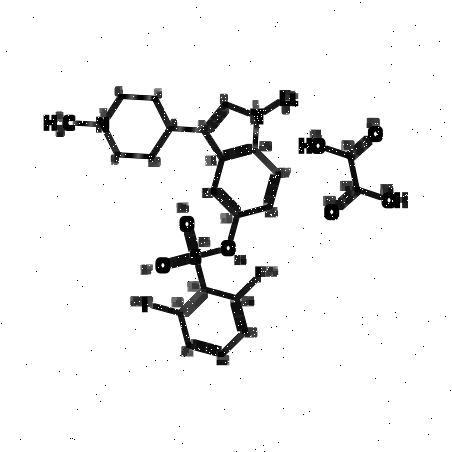 CCn1cc(C2CCN(C)CC2)c2cc(OS(=O)(=O)c3c(F)cccc3F)ccc21.O=C(O)C(=O)O